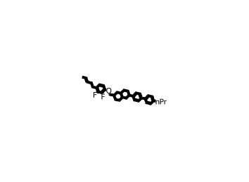 C/C=C/CCc1ccc(OCC2CCC3CC(c4ccc(-c5ccc(CCC)cc5)cc4)CCC3C2)c(F)c1F